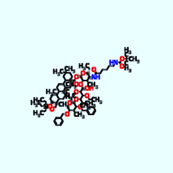 CCOC(C(O[C@@H]1OCC(OCc2ccccc2)C(C)C1OCc1ccccc1)C(C)C)C(OC)[C@@H](O)OC1C(C)[C@@H](NC(=O)CCCCCNC(=O)OC(C)(C)C)[C@@H](CC)O[C@H]1OC(=O)[C@]12CCC(C)(C)CC1C1=CCC3C4(C)CC[C@H](O[Si](CC)(CC)CC)[C@](C)(C=O)C4CC[C@@]3(C)[C@]1(C)CC2